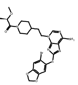 CO[C@H](C)C(=O)N1CCC(CCn2cnc(N)c3nc(Sc4cc5c(cc4Br)OCO5)nc2-3)CC1